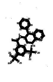 CC(OC1CCc2ncccc2C1c1ccccc1)c1cc(C(F)(F)F)cc(C(F)(F)F)c1